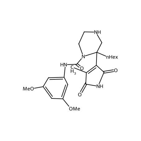 CCCCCCC1(C2=C(C)C(=O)NC2=O)CNCCN1C(=O)Nc1cc(OC)cc(OC)c1